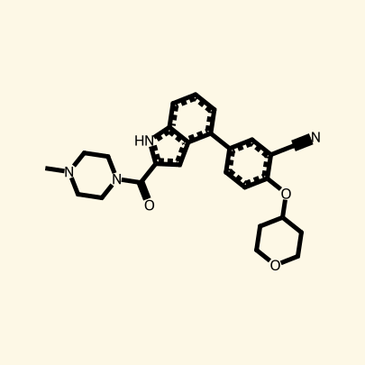 CN1CCN(C(=O)c2cc3c(-c4ccc(OC5CCOCC5)c(C#N)c4)cccc3[nH]2)CC1